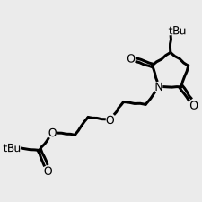 CC(C)(C)C(=O)OCCOCCN1C(=O)CC(C(C)(C)C)C1=O